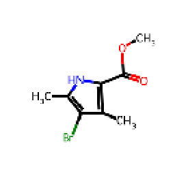 COC(=O)c1[nH]c(C)c(Br)c1C